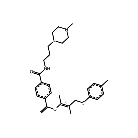 C=C(O/C(C)=C(\C)CSc1ccc(C)cc1)c1ccc(C(=O)NCCCN2CCN(C)CC2)cc1